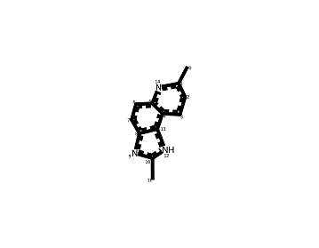 Cc1ccc2c(ccc3nc(C)[nH]c32)n1